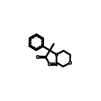 COC(=O)C(C)(c1ccccc1)N1CCOCC1